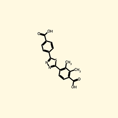 Cc1c(C(=O)O)ccc(-c2nnc(-c3ccc(C(=O)O)cc3)s2)c1C